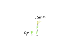 [F-].[F-].[F-].[S-2].[Sm+3].[Zn+2]